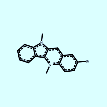 Cn1c2ccccc2c2c1cc1cc(Br)ccc1[n+]2C